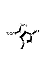 CCn1cc[n+](C)c1.COCC(=O)[O-]